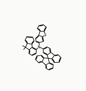 CC1(C)c2ccccc2-c2c(N(c3ccc4c(c3)C3(c5ccccc5-c5ccccc53)c3ccccc3-4)c3ccc4c(c3)sc3ccccc34)cccc21